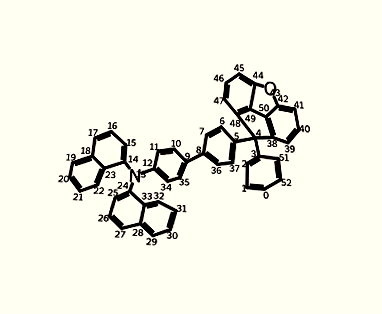 c1ccc(C2(c3ccc(-c4ccc(N(c5cccc6ccccc56)c5cccc6ccccc56)cc4)cc3)c3cccc4oc5cccc2c5c34)cc1